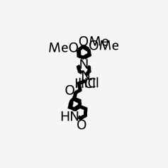 COc1cc(N2CCN(CCCC(=O)c3ccc4c(c3)CCC(=O)N4)CC2)cc(OC)c1OC.Cl.Cl